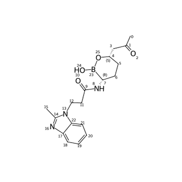 CC(=O)C[C@@H]1CC[C@H](NC(=O)CCn2c(C)nc3ccccc32)B(O)O1